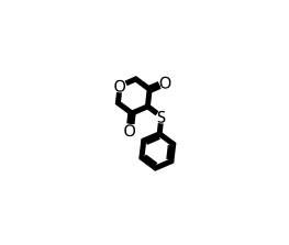 O=C1COCC(=O)C1Sc1ccccc1